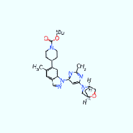 Cc1nc(N2C[C@H]3C[C@@H]2CO3)cc(-n2ncc3cc(C)c(C4CCN(C(=O)OC(C)(C)C)CC4)cc32)n1